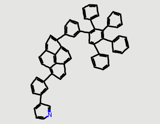 c1ccc(-c2cc(-c3cccc(-c4ccc5ccc6c(-c7cccc(-c8cccnc8)c7)ccc7ccc4c5c76)c3)c(-c3ccccc3)c(-c3ccccc3)c2-c2ccccc2)cc1